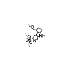 CCOCc1cccc2[nH]c3cnc(P(=O)(OCC)OCC)cc3c12